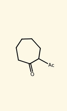 CC(=O)C1CCCCCC1=O